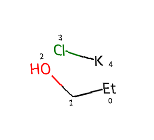 CCCO.[Cl][K]